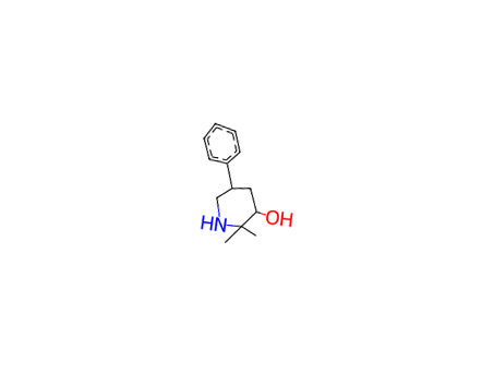 CC1(C)NCC(c2ccccc2)CC1O